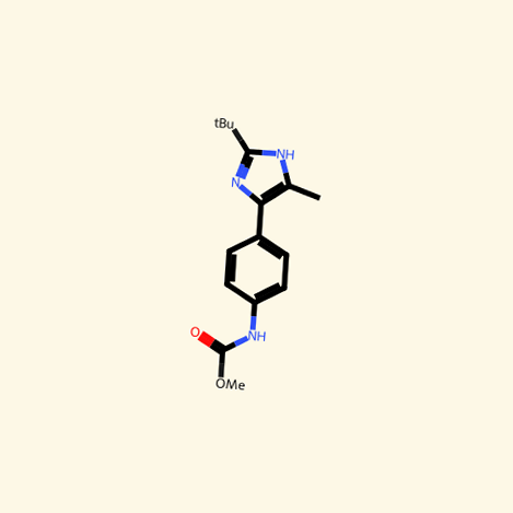 COC(=O)Nc1ccc(-c2nc(C(C)(C)C)[nH]c2C)cc1